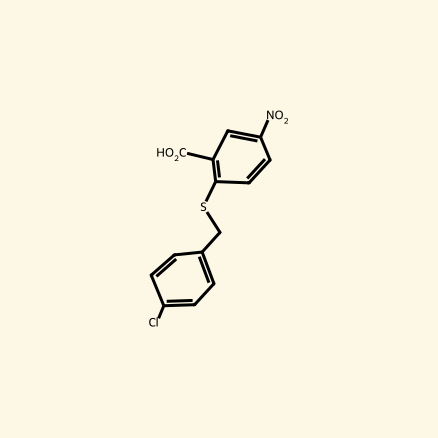 O=C(O)c1cc([N+](=O)[O-])ccc1SCc1ccc(Cl)cc1